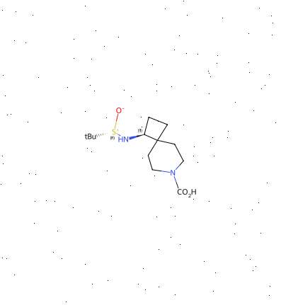 CC(C)(C)[S@+]([O-])N[C@H]1CCC12CCN(C(=O)O)CC2